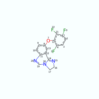 Fc1ccc(F)c(Oc2ccc3c(c2)C2=NCCN2C=N3)c1F